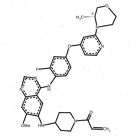 C=CC(=O)N1CCC(Nc2cc3c(Nc4ccc(Oc5ccnc(N6CCOC[C@H]6C)c5)cc4F)ncnc3cc2OC)CC1